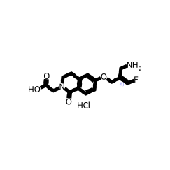 Cl.NC/C(=C\F)COc1ccc2c(c1)CCN(CC(=O)O)C2=O